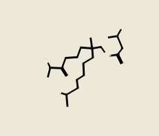 C=C(CC(C)C)OCC(C)(CCCCCC(C)S)CCCC(=C)C(C)N